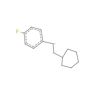 Fc1ccc([CH]CC2CCCCC2)cc1